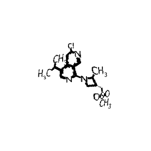 CC(C)c1cnc(N2C[C@@H](CS(C)(=O)=O)[C@@H]2C)c2cnc(Cl)cc12